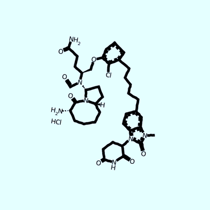 Cl.Cn1c(=O)n(C2CCC(=O)NC2=O)c2ccc(CCCCCc3cccc(OC[C@H](CCC(N)=O)N(C=O)[C@@H]4CC[C@@H]5CCCC[C@H](N)C(=O)N54)c3Cl)cc21